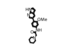 COc1cc(NC(=O)CN2CCCCC2)ccc1-c1cnc2[nH]ccc2c1